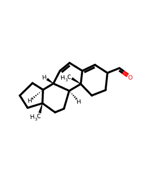 C[C@@]12CCC[C@H]1[C@@H]1C=CC3=CC(C=O)CC[C@]3(C)[C@H]1CC2